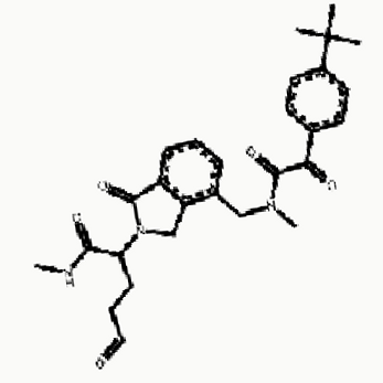 CNC(=O)C(CCC=O)N1Cc2c(CN(C)C(=O)C(=O)c3ccc(C(C)(C)C)cc3)cccc2C1=O